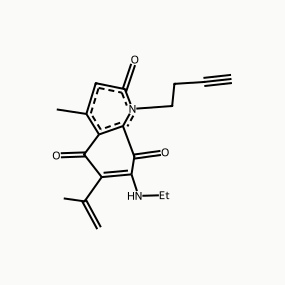 C#CCCn1c2c(c(C)cc1=O)C(=O)C(C(=C)C)=C(NCC)C2=O